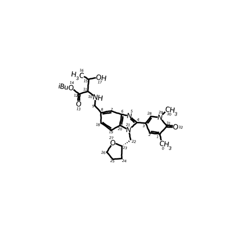 Cc1cc(-c2nc3cc(CNC(C(=O)OCC(C)C)C(C)O)ccc3n2C[C@@H]2CCCO2)cn(C)c1=O